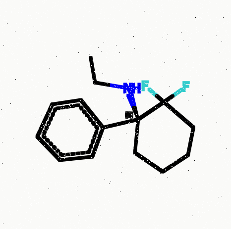 CCN[C@]1(c2ccccc2)CCCCC1(F)F